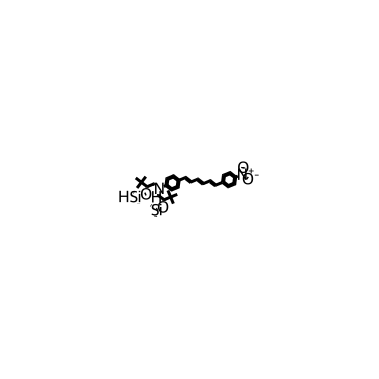 C[SiH](C)OC(CN(CC(O[SiH](C)C)C(C)(C)C)c1ccc(C=CC=CC=Cc2ccc([N+](=O)[O-])cc2)cc1)C(C)(C)C